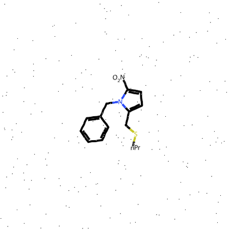 CCCSCc1ccc([N+](=O)[O-])n1Cc1ccccc1